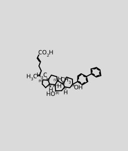 CC(CCC=CC(=O)O)[C@H]1CC[C@H]2[C@@H]3[C@H](O)C[C@@H]4C[C@](O)(c5ccc(-c6ccccc6)cc5)CC[C@]4(C)[C@H]3CC[C@]12C